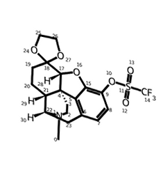 CN1CC[C@@]23c4c5ccc(OS(=O)(=O)C(F)(F)F)c4O[C@H]2C2(CC[C@H]3[C@H]1C5)OCCO2